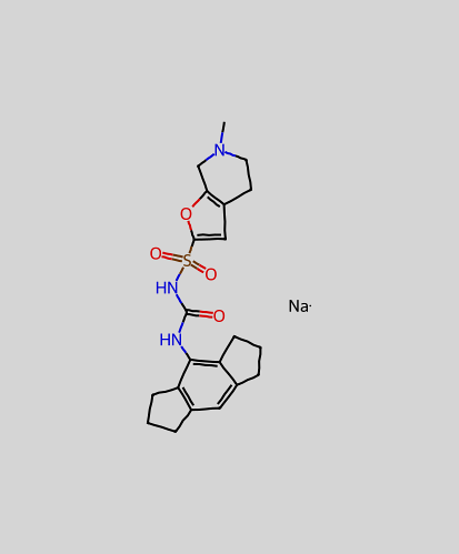 CN1CCc2cc(S(=O)(=O)NC(=O)Nc3c4c(cc5c3CCC5)CCC4)oc2C1.[Na]